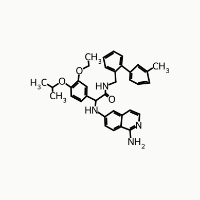 CCOc1cc(C(Nc2ccc3c(N)nccc3c2)C(=O)NCc2ccccc2-c2cccc(C)c2)ccc1OC(C)C